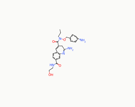 CCCN(OCc1ccc(N)cc1)C(=O)C1=Cc2ccc(C(=O)NCCO)cc2N=C(N)C1